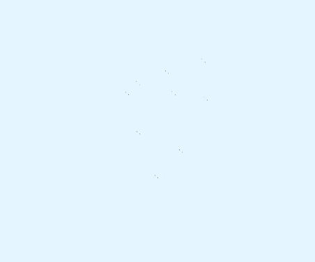 O=C(Cc1ccccc1)Nc1cncc(-c2cc3c(-c4nc5c(N6CCCCC6)cncc5[nH]4)n[nH]c3cn2)c1